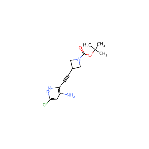 CC(C)(C)OC(=O)N1CC(C#Cc2nnc(Cl)cc2N)C1